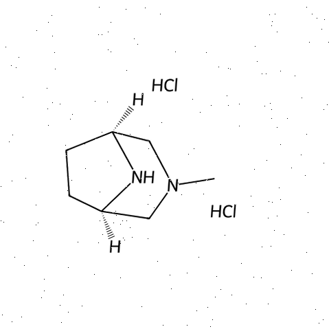 CN1C[C@H]2CC[C@@H](C1)N2.Cl.Cl